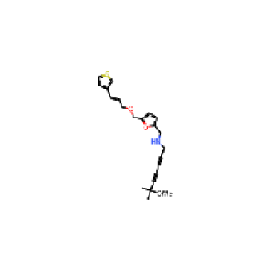 COC(C)(C)C#CC#CCNCc1ccc(COC/C=C/c2ccsc2)o1